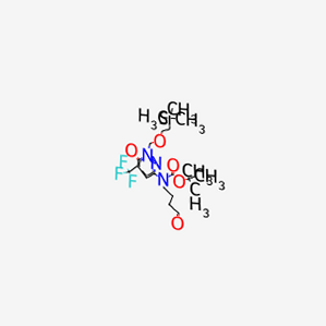 CC(C)(C)OC(=O)N(CCCC=O)c1cc(C(F)(F)F)c(=O)n(COCC[Si](C)(C)C)n1